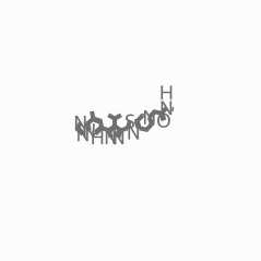 CNC(=O)CN1CCc2nc(-c3n[nH]c(-c4cc(C)c5ncnn5c4)c3C(C)C)sc2C1